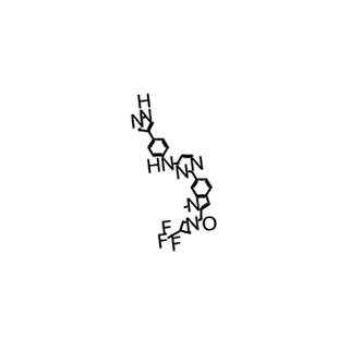 Cn1c(C(=O)N2CC(C(F)(F)F)C2)cc2ccc(-c3nccc(Nc4ccc(-c5cn[nH]c5)cc4)n3)cc21